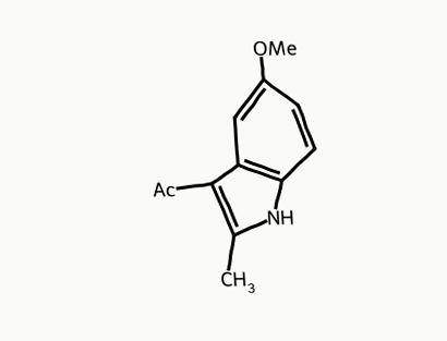 COc1ccc2[nH]c(C)c(C(C)=O)c2c1